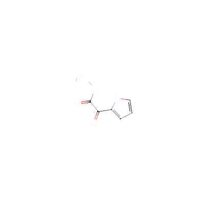 CCCOC(=O)C(=O)c1ccco1